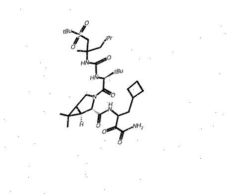 CC(C)CC(C)(CS(=O)(=O)C(C)(C)C)NC(=O)N[C@H](C(=O)N1CC2[C@@H]([C@H]1C(=O)NC(CC1CCC1)C(=O)C(N)=O)C2(C)C)C(C)(C)C